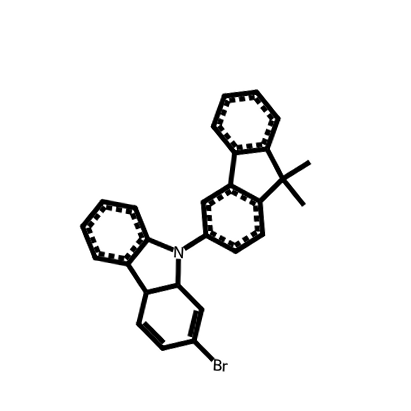 CC1(C)c2ccccc2-c2cc(N3c4ccccc4C4C=CC(Br)=CC43)ccc21